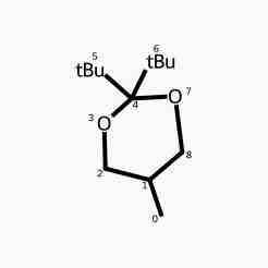 CC1COC(C(C)(C)C)(C(C)(C)C)OC1